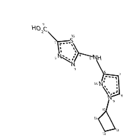 O=C(O)c1nnc(Nc2ccn(C3CCC3)n2)s1